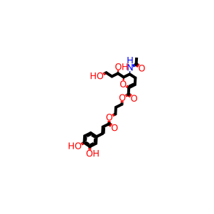 CC(=O)N[C@@H]1CC=C(C(=O)OCCCOC(=O)/C=C/c2ccc(O)c(O)c2)O[C@H]1[C@H](O)CCO